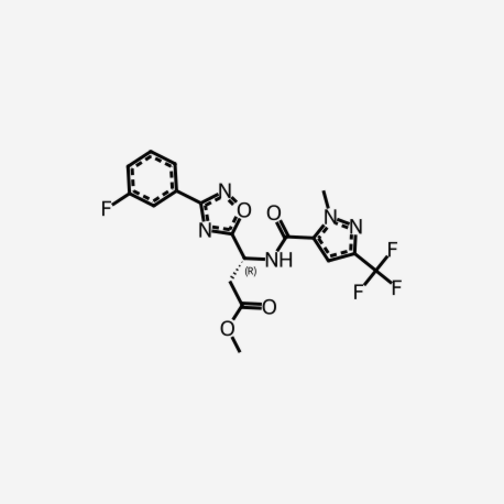 COC(=O)C[C@@H](NC(=O)c1cc(C(F)(F)F)nn1C)c1nc(-c2cccc(F)c2)no1